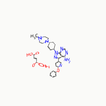 CN1CCN([C@H]2CC[C@H](n3nc(-c4ccc(Oc5ccccc5)nc4)c4c(N)ncnc43)CC2)CC1.O=C(O)C=CC(=O)O